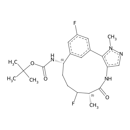 C[C@H]1C(=O)Nc2cnn(C)c2-c2cc(F)cc(c2)[C@@H](NC(=O)OC(C)(C)C)CCC1F